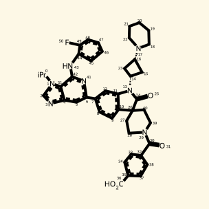 CC(C)n1cnc2cc(-c3ccc4c(c3)N([C@H]3C[C@@H](N5CCCCC5)C3)C(=O)C43CCN(C(=O)c4ccc(C(=O)O)cc4)CC3)nc(Nc3ccccc3F)c21